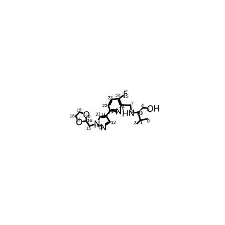 CC(C)[C@H](CO)NCc1nc(-c2cnn(CC3OCCO3)c2)ccc1F